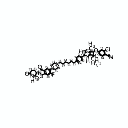 CC1(C)C(NC(=O)c2ccc(CCCCCCN3CCN(c4cc5c(cc4F)CN([C@H]4CCC(=O)NC4=O)C5=O)CC3)nc2)C(C)(C)C1Oc1ccc(C#N)c(Cl)c1